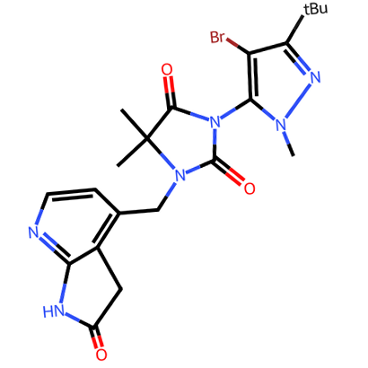 Cn1nc(C(C)(C)C)c(Br)c1N1C(=O)N(Cc2ccnc3c2CC(=O)N3)C(C)(C)C1=O